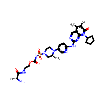 CC(=O)c1c(C)c2cnc(Nc3ccc(N4CCN(S(=O)(=O)NC(=O)OCCNC(=O)[C@H](N)C(C)C)C[C@@H]4C)cn3)nc2n(C2CCCC2)c1=O